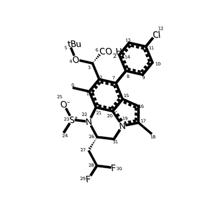 Cc1c([C@H](OC(C)(C)C)C(=O)O)c(-c2ccc(Cl)cc2)c2cc(C)n3c2c1N([S+](C)[O-])[C@@H](CC(F)F)C3